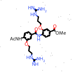 COC(=O)c1ccc(NC(=O)c2ccc(NC(C)=O)c(OCCCNC(=N)N)c2)c(OCCCNC(=N)N)c1